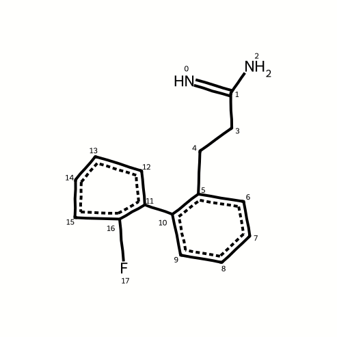 N=C(N)CCc1ccccc1-c1ccccc1F